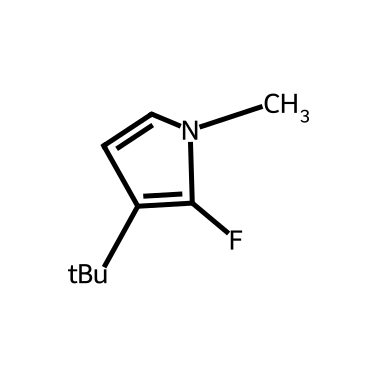 Cn1ccc(C(C)(C)C)c1F